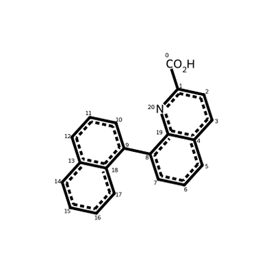 O=C(O)c1ccc2cccc(-c3cccc4ccccc34)c2n1